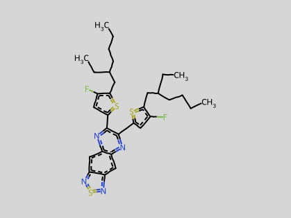 CCCCC(CC)Cc1sc(-c2nc3cc4nsnc4cc3nc2-c2cc(F)c(CC(CC)CCCC)s2)cc1F